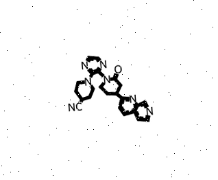 N#CC1CCN(c2nccnc2N2CCC(c3ccc4ccncc4n3)CC2=O)CC1